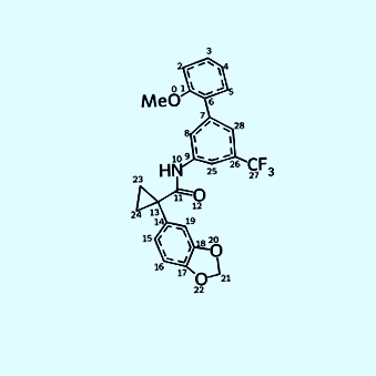 COc1ccccc1-c1cc(NC(=O)C2(c3ccc4c(c3)OCO4)CC2)cc(C(F)(F)F)c1